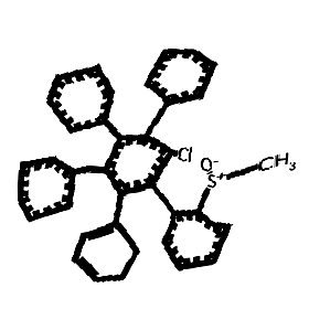 C[S+]([O-])c1ccccc1-c1c(Cl)c(-c2ccccc2)c(-c2ccccc2)c(-c2ccccc2)c1C1=CC=CCC1